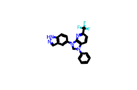 FC(F)(F)c1ccc2c(n1)N(c1ccc3[nH]ncc3c1)CN2c1ccccc1